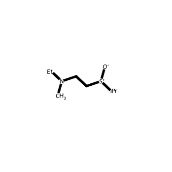 CCN(C)CC[S+]([O-])C(C)C